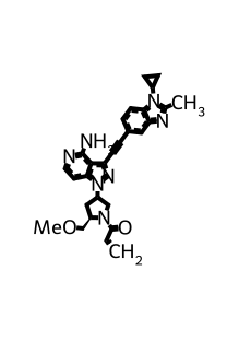 C=CC(=O)N1CC(n2nc(C#Cc3ccc4c(c3)nc(C)n4C3CC3)c3c(N)nccc32)C[C@@H]1COC